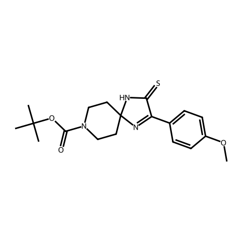 COc1ccc(C2=NC3(CCN(C(=O)OC(C)(C)C)CC3)NC2=S)cc1